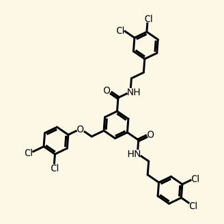 O=C(NCCc1ccc(Cl)c(Cl)c1)c1cc(COc2ccc(Cl)c(Cl)c2)cc(C(=O)NCCc2ccc(Cl)c(Cl)c2)c1